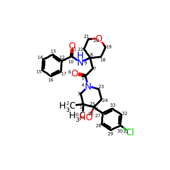 CC1(C)CN(C(=O)CC2(NC(=O)c3ccccc3)CCOCC2)CC[C@]1(O)c1ccc(Cl)cc1